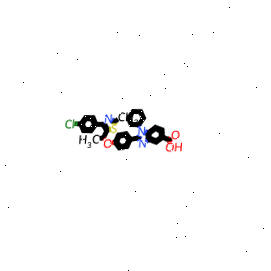 Cc1nc(-c2ccc(Cl)cc2)c(C(C)Oc2ccc(-c3nc4cc(C(=O)O)ccc4n3C3CCCCC3)cc2)s1